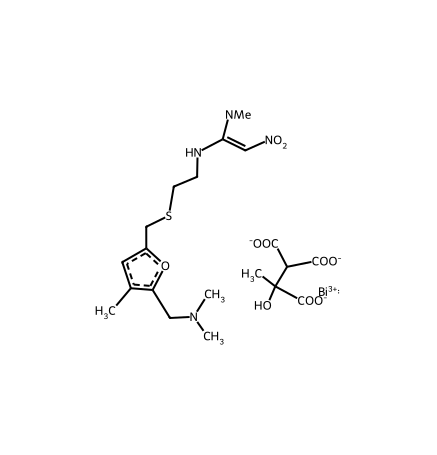 CC(O)(C(=O)[O-])C(C(=O)[O-])C(=O)[O-].CNC(=C[N+](=O)[O-])NCCSCc1cc(C)c(CN(C)C)o1.[Bi+3]